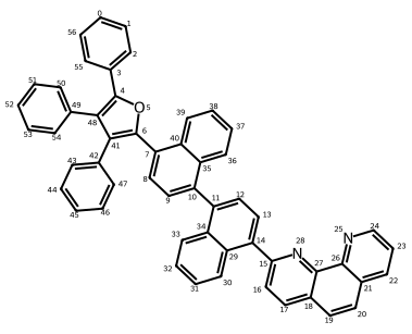 c1ccc(-c2oc(-c3ccc(-c4ccc(-c5ccc6ccc7cccnc7c6n5)c5ccccc45)c4ccccc34)c(-c3ccccc3)c2-c2ccccc2)cc1